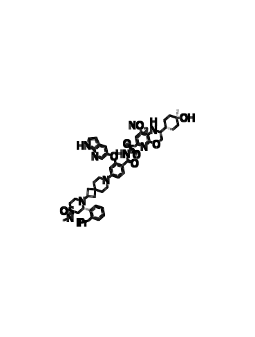 CN=S1(=O)CCN(C2CC3(CCN(c4ccc(C(=O)NS(=O)(=O)c5cc([N+](=O)[O-])c6c(n5)OC[C@H]([C@H]5CC[C@](C)(O)CC5)N6)c(Oc5cnc6[nH]ccc6c5)c4)CC3)C2)[C@H](c2ccccc2C(C)C)C1